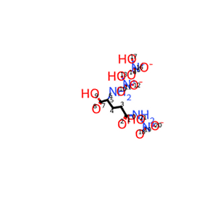 NC(=O)CC[C@H](N)C(=O)O.O=[N+]([O-])O.O=[N+]([O-])O.O=[N+]([O-])O